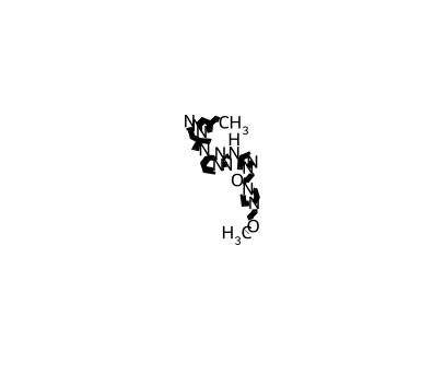 CCc1cnn(C2(CC#N)CN(c3cccn4nc(Nc5cnn(CC(=O)N6CCN(CCOC)CC6)c5)nc34)C2)c1